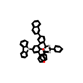 c1ccc(-c2nc(-c3ccccc3)nc(-c3ccc(-c4ccc5ccccc5c4)cc3-c3cc(-n4c5ccccc5c5ccccc54)cc4c3sc3ccccc34)n2)cc1